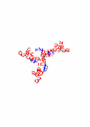 N=NCC(O)COCC(COCC(O)CN1CCN(CC(O)COCC(COCC2CO2)(COCC2CO2)COCC2CO2)CC1)(COCC(O)CN1CCN(CC(O)COCC(COCC2CO2)(COCC2CO2)COCC2CO2)CC1)COCC(O)CN1CCN(CC(O)COCC(COCC2CO2)(COCC2CO2)COCC2CO2)CC1